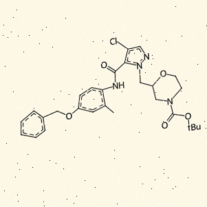 Cc1cc(OCc2ccccc2)ccc1NC(=O)c1c(Cl)cnn1CC1CN(C(=O)OC(C)(C)C)CCO1